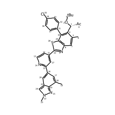 CC(=O)[C@@H](OC(C)(C)C)c1c(C)cc2nc(-c3ccnc(-c4cc(C)c5nn(C)cc5c4)c3)sc2c1-c1ccc(Cl)cc1